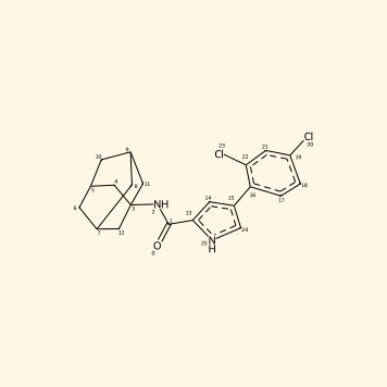 O=C(NC12CC3CC(CC(C3)C1)C2)c1cc(-c2ccc(Cl)cc2Cl)c[nH]1